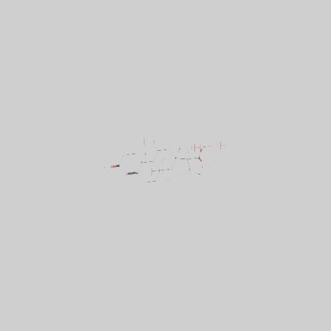 C[C@H]1C[C@H]2[C@@H]3C[C@H](C)[C@](O)(C(=O)CO)[C@@]3(C)C[C@H](O)[C@]2(F)[C@@]2(C)CCC(=O)C=C12